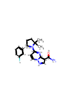 CC1(C)CC[C@@H](c2cccc(F)c2)N1c1ccn2ncc(C(N)=O)c2n1